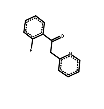 O=C(Cc1ccccn1)c1ccccc1F